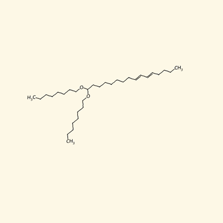 CCCCC=CC=CCCCCCCCC(OCCCCCCCC)OCCCCCCCC